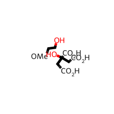 COCCO.O=C(O)CC(O)(CC(=O)O)C(=O)O